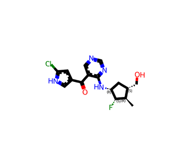 C[C@@H]1[C@@H](CO)C[C@@H](Nc2ncncc2C(=O)c2c[nH]c(Cl)c2)[C@H]1F